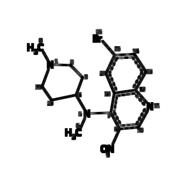 CN1CCC(N(C)c2c(N=O)cnc3ccc(Br)cc23)CC1